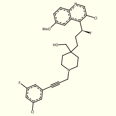 COc1ccc2ncc(Cl)c([C@@H](F)CCC3(CO)CCN(CC#Cc4cc(F)cc(Cl)c4)CC3)c2c1